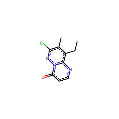 CCc1c(C)c(Cl)nn2c(=O)ccnc12